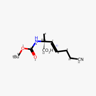 CC(C)(C)OC(=O)N[C@@](C)(/C=C/CCC#N)C(=O)O